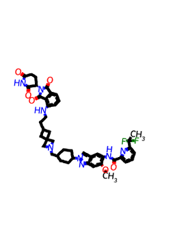 COc1cc2nn(C3CCC(CN4CC5(CC(CCNc6cccc7c6C(=O)N([C@H]6CCC(=O)NC6=O)C7=O)C5)C4)CC3)cc2cc1NC(=O)c1cccc(C(C)(F)F)n1